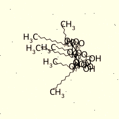 CCCCCCCCCCCC(CC(=O)NC1C(OC[C@H](NC(=O)C[C@@H](CCCCCCCCCCC)OCCCCCC)C(=O)O)OC(CO)C(OP(=O)(O)O)C1OC(=O)C[C@@H](CCCCCCCCCCC)OCCCCCC)OCCCCCC